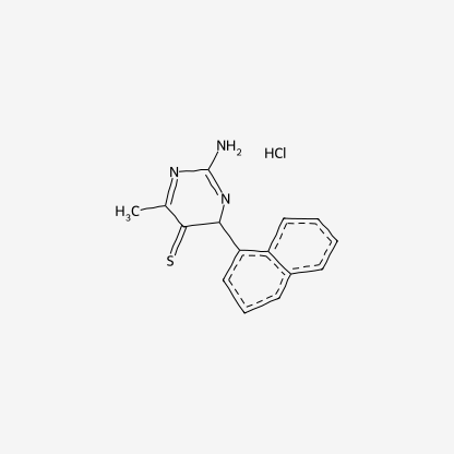 CC1=NC(N)=NC(c2cccc3ccccc23)C1=S.Cl